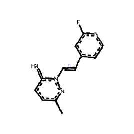 Cc1ccc(=N)n(/C=C/c2ccnc(F)c2)n1